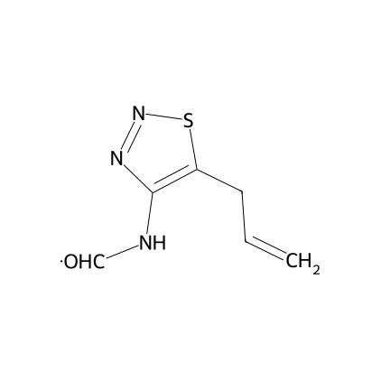 C=CCc1snnc1N[C]=O